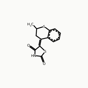 CC1C/C(=C2/SC(=O)NC2=O)c2ccccc2S1